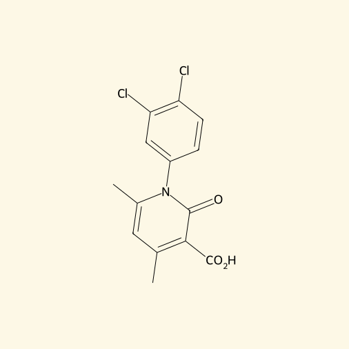 Cc1cc(C)n(-c2ccc(Cl)c(Cl)c2)c(=O)c1C(=O)O